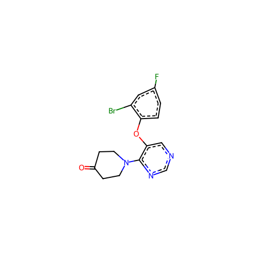 O=C1CCN(c2ncncc2Oc2ccc(F)cc2Br)CC1